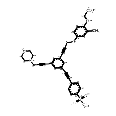 Cc1cc(OCC#Cc2cc(C#CCN3CCOCC3)cc(C#Cc3ccc(S(C)(=O)=O)cc3)c2)ccc1OCC(=O)O